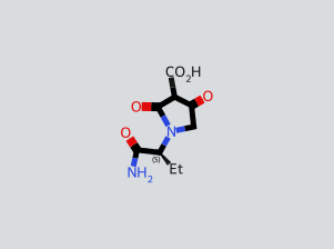 CC[C@@H](C(N)=O)N1CC(=O)C(C(=O)O)C1=O